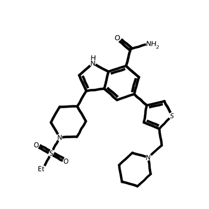 CCS(=O)(=O)N1CCC(c2c[nH]c3c(C(N)=O)cc(-c4csc(CN5CCCCC5)c4)cc23)CC1